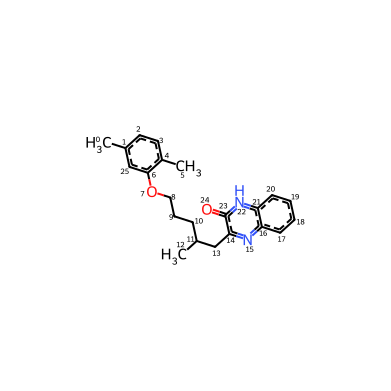 Cc1ccc(C)c(OCCCC(C)Cc2nc3ccccc3[nH]c2=O)c1